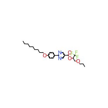 CCCCCCCCCOc1ccc(-c2ncc(C(=O)OC(COCCC)C(F)(F)F)cn2)cc1